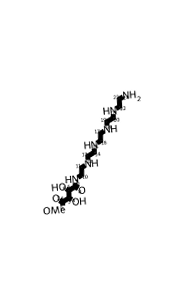 COC(=O)C(O)C(O)C(=O)NCCNCCNCCNCCNCCN